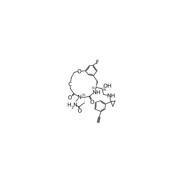 C#Cc1cccc(C2(NC[C@@H](O)[C@@H]3Cc4cc(F)cc(c4)OCCCCC(=O)N(C)[C@@H](CC(N)=O)C(=O)N3)CC2)c1